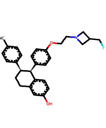 N#Cc1ccc([C@@H]2CCc3cc(O)ccc3[C@@H]2c2ccc(OCCN3CC(CF)C3)cc2)cc1